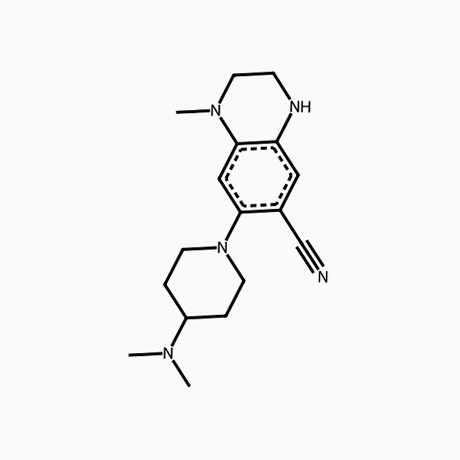 CN1CCNc2cc(C#N)c(N3CCC(N(C)C)CC3)cc21